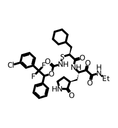 CCNC(=O)C(=O)[C@H](C[C@@H]1CCNC1=O)NC(=O)[C@H](CC1CCCCC1)SNC(=O)OC(c1ccccc1)C(F)(F)c1cccc(Cl)c1